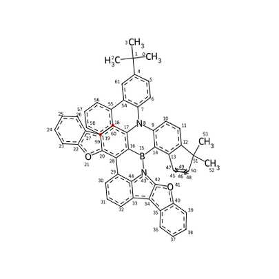 CC(C)(C)c1ccc(N2c3ccc4c(c3B3c5c2cc2c(oc6ccccc62)c5-c2cccc5c6c7ccccc7oc6n3c25)-c2ccccc2C4(C)C)c(-c2ccccc2)c1